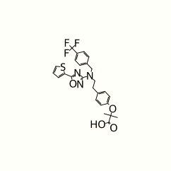 CC(C)(Oc1ccc(CCN(Cc2ccc(C(F)(F)F)cc2)c2noc(-c3cccs3)n2)cc1)C(=O)O